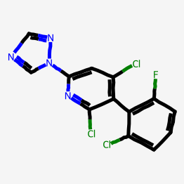 Fc1cccc(Cl)c1-c1c(Cl)cc(-n2cncn2)nc1Cl